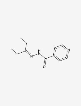 CCC(CC)=NNC(=O)c1ccncc1